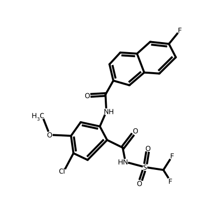 COc1cc(NC(=O)c2ccc3cc(F)ccc3c2)c(C(=O)NS(=O)(=O)C(F)F)cc1Cl